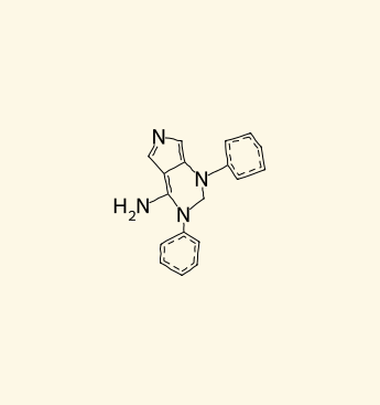 NC1=C2C=NC=C2N(c2ccccc2)CN1c1ccccc1